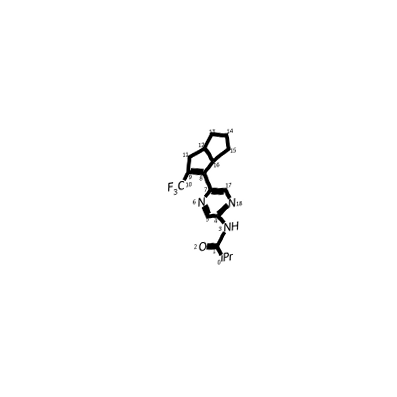 CC(C)C(=O)Nc1cnc(C2=C(C(F)(F)F)CC3CCCC23)cn1